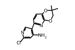 CC1(C)COc2nc(-c3cnc(Cl)cc3N)ccc2O1